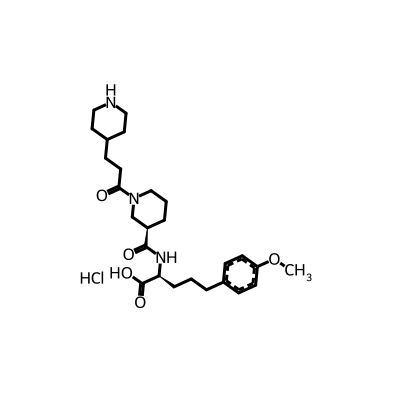 COc1ccc(CCC[C@H](NC(=O)[C@@H]2CCCN(C(=O)CCC3CCNCC3)C2)C(=O)O)cc1.Cl